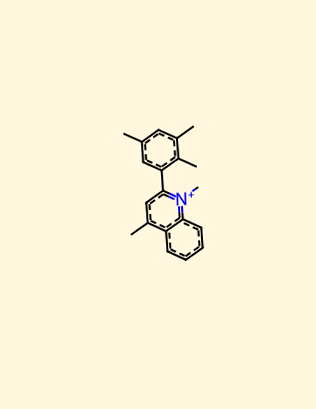 Cc1cc(C)c(C)c(-c2cc(C)c3ccccc3[n+]2C)c1